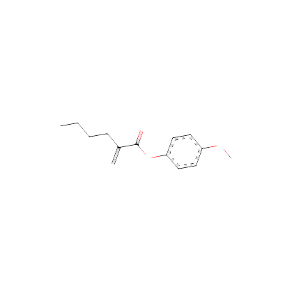 C=C(CCCC)C(=O)Oc1ccc(OC)cc1